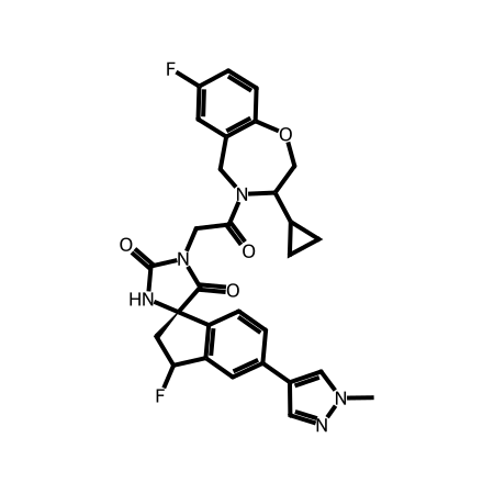 Cn1cc(-c2ccc3c(c2)C(F)C[C@]32NC(=O)N(CC(=O)N3Cc4cc(F)ccc4OCC3C3CC3)C2=O)cn1